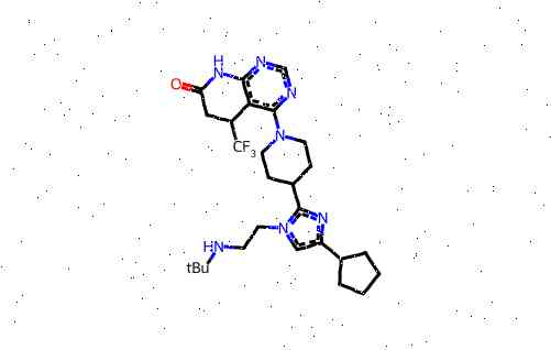 CC(C)(C)NCCn1cc(C2CCCC2)nc1C1CCN(c2ncnc3c2C(C(F)(F)F)CC(=O)N3)CC1